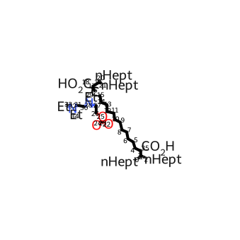 CCCCCCCC(CCCCCCC)C(CCCCCCC(CCCCCCC(C(=O)O)C(CCCCCCC)CCCCCCC)OC(=O)OCCN(CC)CCN(CC)CC)C(=O)O